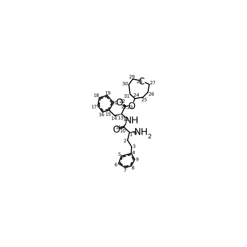 N[C@@H](CCc1ccccc1)C(=O)N[C@@H](Cc1ccccc1)C(=O)OC1CCCCCCC1